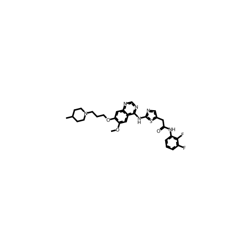 COc1cc2c(Nc3ncc(CC(=O)Nc4cccc(F)c4F)s3)ncnc2cc1OCCCN1CCC(C)CC1